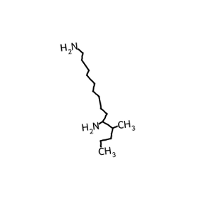 CCCC(C)C(N)CCCCCCCCCN